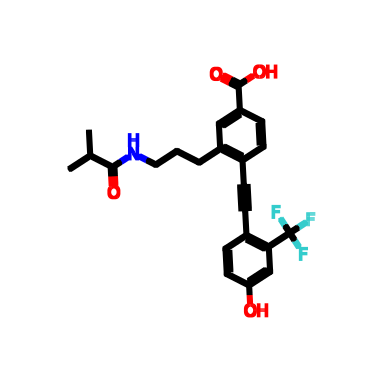 CC(C)C(=O)NCCCc1cc(C(=O)O)ccc1C#Cc1ccc(O)cc1C(F)(F)F